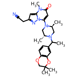 CC(c1ccc2c(c1)OC(C)(C)CO2)N1C[C@H](C)N(c2cc(=O)n(C)c3cc(CC#N)nn23)C[C@H]1C